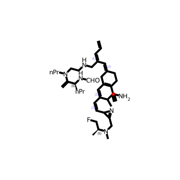 C#CC1=C(/C=C(/C=C\C2N=C2CN(C)[C@@H](C)CF)C(C)CN)C/C(=C\C(=C/C=C)CNCCN(CCC)C(=C)[C@H](CCC)NC=O)CC1